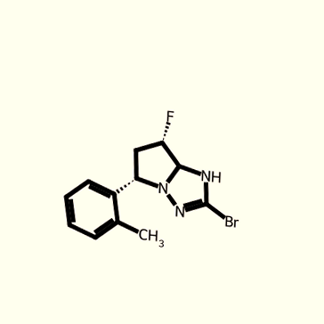 Cc1ccccc1[C@@H]1C[C@H](F)C2NC(Br)=NN21